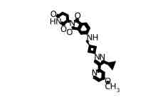 COc1ccnc(-c2cn([C@H]3C[C@H](CNc4ccc5c(c4)C(=O)N(C4CCC(=O)NC4=O)C5=O)C3)nc2C2CC2)c1